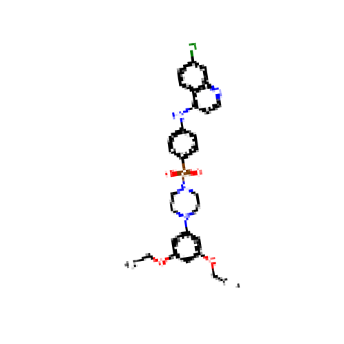 CCOc1cc(OCC)cc(N2CCN(S(=O)(=O)c3ccc(Nc4ccnc5cc(Cl)ccc45)cc3)CC2)c1